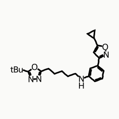 CC(C)(C)c1nnc(CCCCCNc2cccc(-c3cc(C4CC4)on3)c2)o1